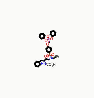 CC(C)CN(C[C@@H](O)[C@H](Cc1ccccc1)NC(=O)O)S(=O)(=O)c1ccc(OCP(=O)(Oc2ccccc2)Oc2ccccc2)cc1